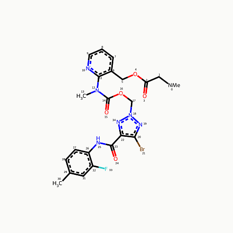 CNCC(=O)OCc1cccnc1N(C)C(=O)OCn1nc(Br)c(C(=O)Nc2ccc(C)cc2F)n1